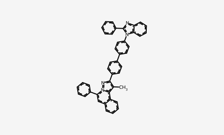 Cc1c(-c2ccc(-c3ccc(-n4c(-c5ccccc5)nc5ccccc54)cc3)cc2)nn2c(-c3ccccc3)cc3ccccc3c12